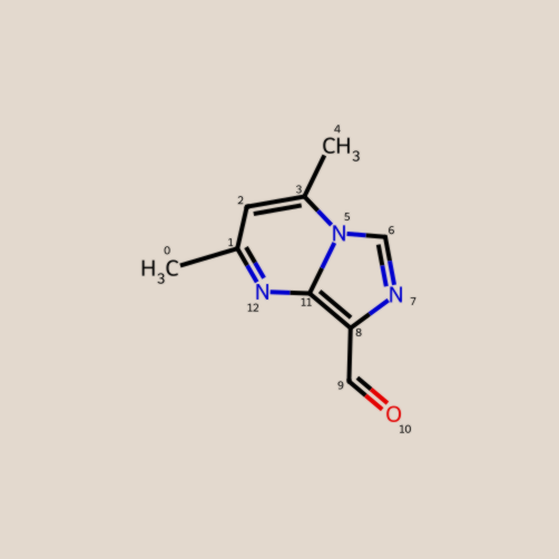 Cc1cc(C)n2cnc(C=O)c2n1